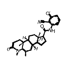 CC1=C2N(C)C(=O)CC[C@]2(C)[C@@H]2CC[C@]3(C)C(C(=O)Nc4cccc(Cl)c4C#N)CC[C@H]3[C@@H]2C1